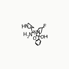 NC(NC(=O)C(O)(c1ccccc1)C1CCC(F)C1)C12CNCC1C2